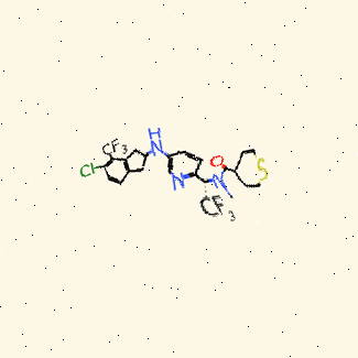 CN(C(=O)C1CCSCC1)[C@@H](c1ccc(NC2Cc3ccc(Cl)c(C(F)(F)F)c3C2)cn1)C(F)(F)F